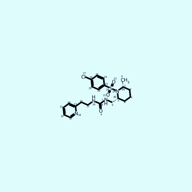 C[C@@H]1CCC[C@H](CNC(=O)NCCc2ccccn2)N1S(=O)(=O)c1ccc(Cl)cc1